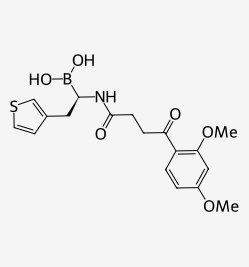 COc1ccc(C(=O)CCC(=O)N[C@@H](Cc2ccsc2)B(O)O)c(OC)c1